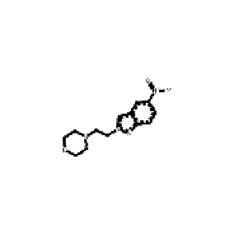 O=[N+]([O-])c1ccc2nn(CCN3CCOCC3)cc2c1